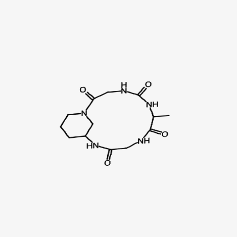 CC1NC(=O)NCC(=O)N2CCCC(C2)NC(=O)CNC1=O